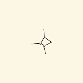 CB1C(C)CN1C